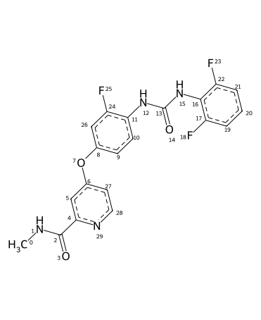 CNC(=O)c1cc(Oc2ccc(NC(=O)Nc3c(F)cccc3F)c(F)c2)ccn1